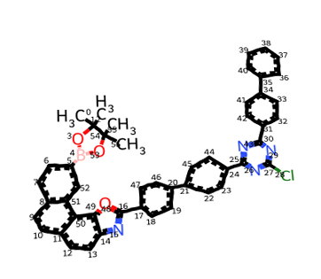 CC1(C)OB(c2ccc3ccc4ccc5nc(-c6ccc(-c7ccc(-c8nc(Cl)nc(-c9ccc(-c%10ccccc%10)cc9)n8)cc7)cc6)oc5c4c3c2)OC1(C)C